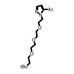 CC(=O)c1ccnn1CCOCCOCCOCCC(C)(C)C